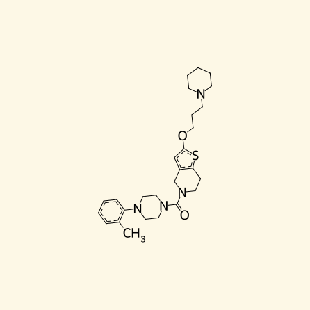 Cc1ccccc1N1CCN(C(=O)N2CCc3sc(OCCCN4CCCCC4)cc3C2)CC1